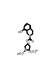 O=C(O)[C@@H]1C[C@@H](OC(=O)N2CCc3cccc(O)c3C2)CN1C(=O)O